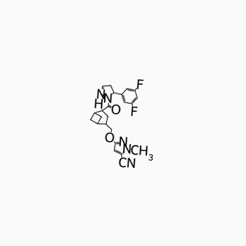 Cn1nc(OCC2C[C@H](C(=O)N3N=CCC3c3cc(F)cc(F)c3)C3CC2C3)cc1C#N